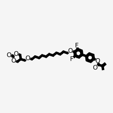 C=C(C)C(=O)Oc1ccc(-c2cc(F)c(OCCCCCCCCCCCOCC3COC(=O)OC3)c(F)c2)cc1